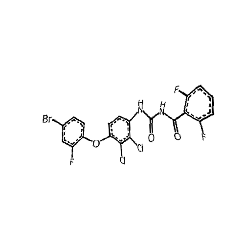 O=C(NC(=O)c1c(F)cccc1F)Nc1ccc(Oc2ccc(Br)cc2F)c(Cl)c1Cl